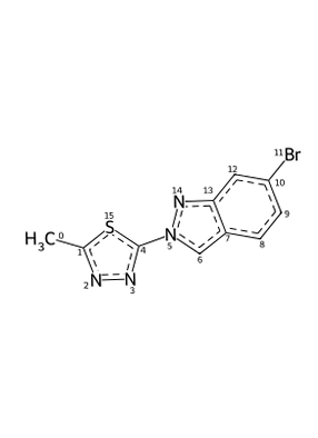 Cc1nnc(-n2cc3ccc(Br)cc3n2)s1